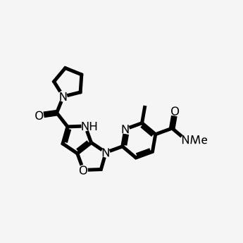 CNC(=O)c1ccc(N2COc3cc(C(=O)N4CCCC4)[nH]c32)nc1C